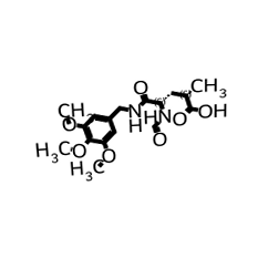 COc1cc(CNC(=O)[C@H](C[C@H](C)C(=O)O)NC=O)cc(OC)c1OC